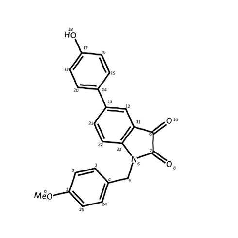 COc1ccc(CN2C(=O)C(=O)c3cc(-c4ccc(O)cc4)ccc32)cc1